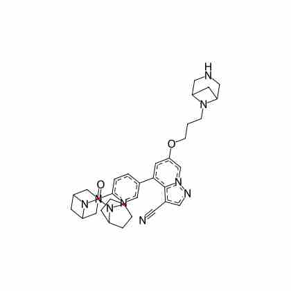 N#Cc1cnn2cc(OCCCN3C4CNCC3C4)cc(-c3ccc(N4CC5CC(C4)N5C(=O)N4C5CCC4CC5)nc3)c12